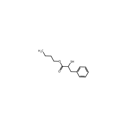 CCCCOC(=O)C(S)Cc1ccccc1